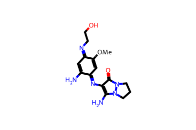 COC1=CC(=N\c2c(N)n3n(c2=O)CCC3)/C(N)=CC/1=N/CCO